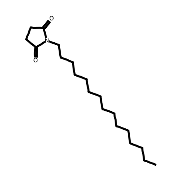 CCCCCCCCCCCCCCCN1C(=O)CCC1=O